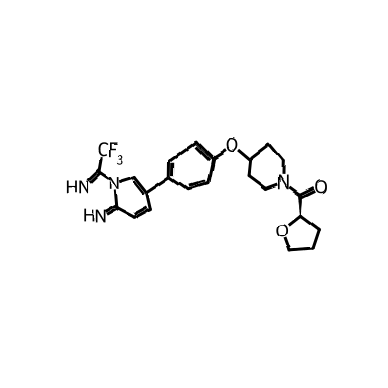 N=C(n1cc(-c2ccc(OC3CCN(C(=O)[C@H]4CCCO4)CC3)cc2)ccc1=N)C(F)(F)F